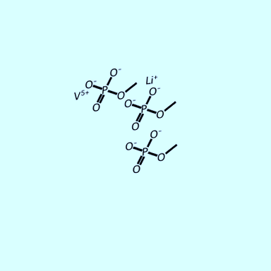 COP(=O)([O-])[O-].COP(=O)([O-])[O-].COP(=O)([O-])[O-].[Li+].[V+5]